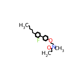 C=CC(=O)N(C)CCOc1ccc(-c2ccc(CCCCC)cc2F)cc1